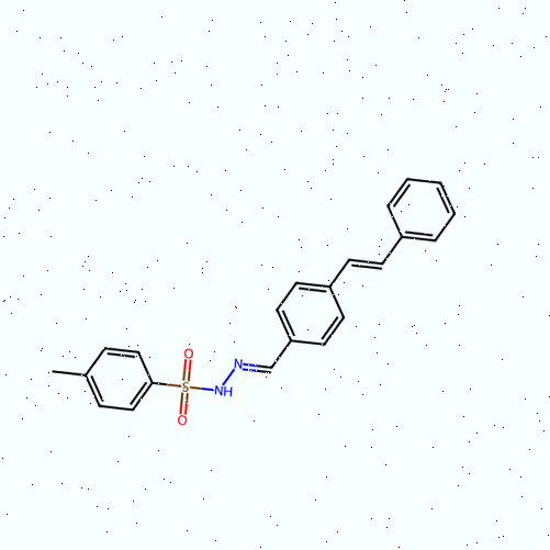 Cc1ccc(S(=O)(=O)N/N=C/c2ccc(/C=C/c3ccccc3)cc2)cc1